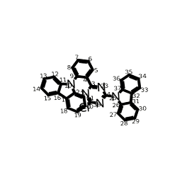 Clc1nc(-c2ccccc2-n2c3ccccc3c3ccccc32)nc(-n2c3ccccc3c3ccccc32)n1